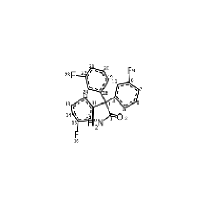 NC(=O)C(c1cccc(F)c1)(c1cccc(F)c1)c1cccc(F)c1